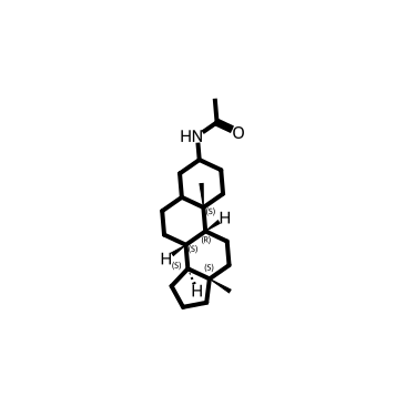 CC(=O)NC1CC[C@@]2(C)C(CC[C@@H]3[C@H]2CC[C@]2(C)CCC[C@@H]32)C1